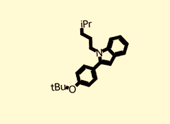 CC(C)CCCn1c(-c2ccc(OC(C)(C)C)cc2)cc2ccccc21